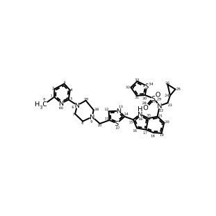 Cc1cccc(N2CCN(Cc3cnc(-c4cc5cccc(N(CC6CC6)S(=O)(=O)c6cccs6)c5[nH]4)s3)CC2)n1